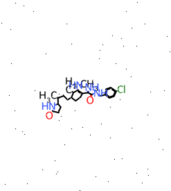 CNC1=C(C(=N)C(=O)NCc2ccc(Cl)cc2)CCC(CCC(C)C2CCC(=O)N2)C1C